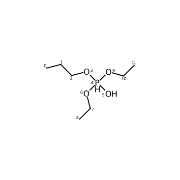 CCCO[PH](O)(OCC)OCC